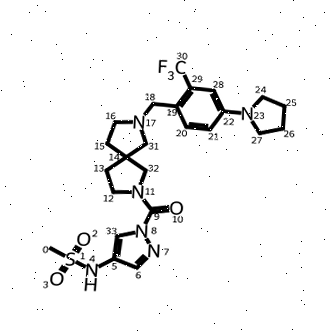 CS(=O)(=O)Nc1cnn(C(=O)N2CCC3(CCN(Cc4ccc(N5CCCC5)cc4C(F)(F)F)C3)C2)c1